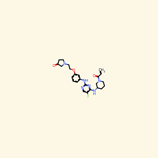 C=CC(=O)N1CCC[C@@H](Nc2nc(Nc3cccc(OCCN4CCC(=O)C4)c3)ncc2F)C1